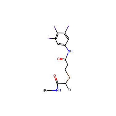 CCC(SCCC(=O)Nc1cc(I)c(I)c(I)c1)C(=O)NC(C)C